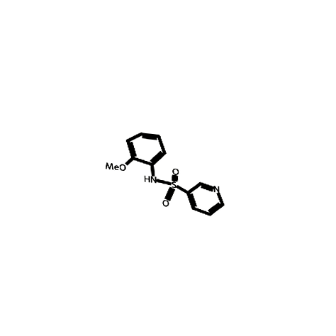 COc1ccccc1NS(=O)(=O)c1cccnc1